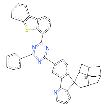 c1ccc(-c2nc(-c3ccc4c(c3)-c3ncccc3C43C4CC5CC6CC3[C@@]6(C5)C4)nc(-c3cccc4c3sc3ccccc34)n2)cc1